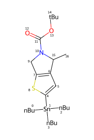 CCC[CH2][Sn]([CH2]CCC)([CH2]CCC)[c]1cc2c(s1)CN(C(=O)OC(C)(C)C)C2C